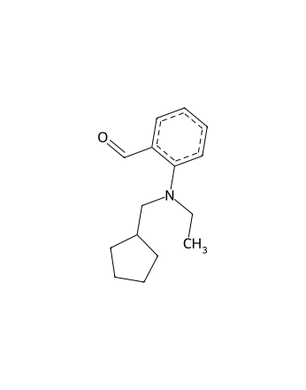 CCN(CC1CCCC1)c1ccccc1C=O